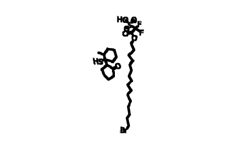 CC1CCCCC1(S)C1CCCCC1=O.O=C(OCCCCCCCCCCCCCCCCBr)C(F)(F)S(=O)(=O)O